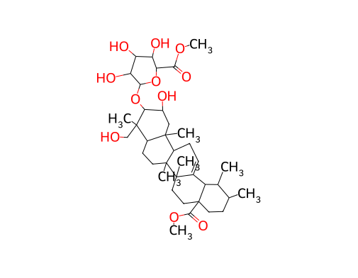 COC(=O)C1OC(OC2C(O)CC3(C)C(CCC4(C)C3CC=C3C5C(C)C(C)CCC5(C(=O)OC)CCC34C)C2(C)CO)C(O)C(O)C1O